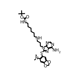 CN(C)c1cc2c(cc1Sc1nc3c(N)ncnc3n1CCCNCCCCCCNC(=O)OC(C)(C)C)OCO2